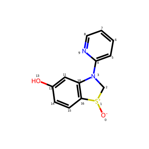 [O-][S+]1CN(c2ccccn2)c2cc(O)ccc21